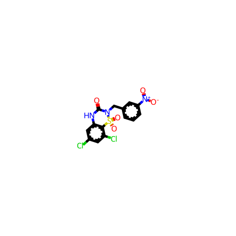 O=C1Nc2cc(Cl)cc(Cl)c2S(=O)(=O)N1Cc1cccc([N+](=O)[O-])c1